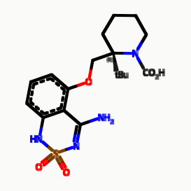 CC(C)(C)[C@@]1(COc2cccc3c2C(N)=NS(=O)(=O)N3)CCCCN1C(=O)O